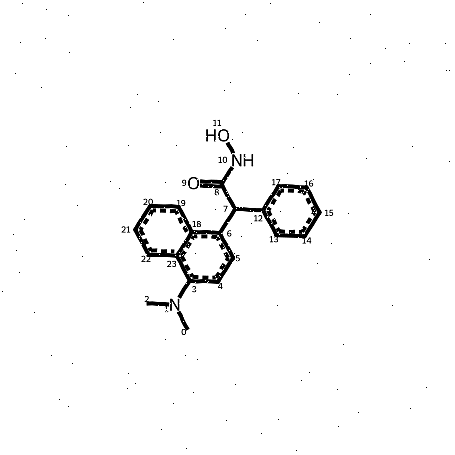 CN(C)c1ccc(C(C(=O)NO)c2ccccc2)c2ccccc12